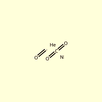 O=C=O.[C]=O.[He].[N]